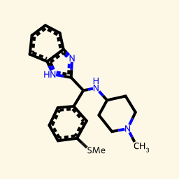 CSc1cccc(C(NC2CCN(C)CC2)c2nc3ccccc3[nH]2)c1